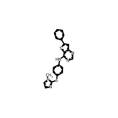 Cn1ccnc1Sc1ccc(Nc2ncnc3cc(-c4ccccc4)sc23)cc1